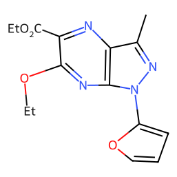 CCOC(=O)c1nc2c(C)nn(-c3ccco3)c2nc1OCC